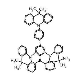 CC1(C)c2ccccc2N(c2ccc(-c3cc4c5c(c3)N3c6ccccc6C(C)(N)c6cccc(c63)B5c3cccc5c3N4c3ccccc3C5(C)C)cc2)c2ccccc21